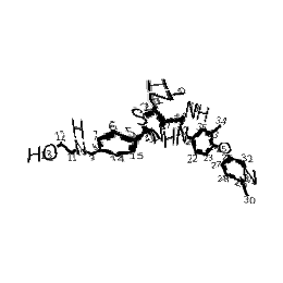 CNc1sc(-c2ccc(CNCCO)cc2)nc1C(=N)Nc1ccc(Oc2ccc(C)nc2)c(C)c1